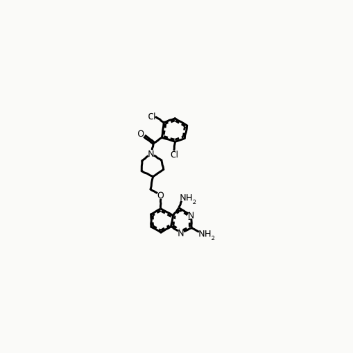 Nc1nc(N)c2c(OCC3CCN(C(=O)c4c(Cl)cccc4Cl)CC3)cccc2n1